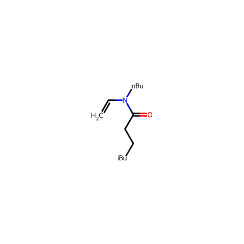 C=CN(CCCC)C(=O)CCC(C)CC